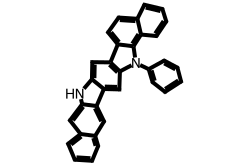 c1ccc(-n2c3cc4c(cc3c3ccc5ccccc5c32)[nH]c2cc3ccccc3cc24)cc1